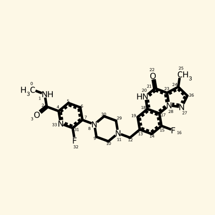 CNC(=O)c1ccc(N2CCN(Cc3cc(F)c4c(c3)[nH]c(=O)c3c(C)cnn34)CC2)c(F)n1